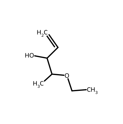 C=CC(O)C(C)OCC